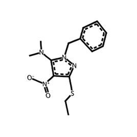 CCSc1nn(Cc2ccccc2)c(N(C)C)c1[N+](=O)[O-]